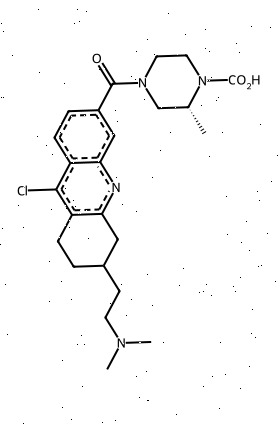 C[C@@H]1CN(C(=O)c2ccc3c(Cl)c4c(nc3c2)CC(CCN(C)C)CC4)CCN1C(=O)O